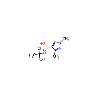 Cc1nn(C)cc1B(O)OC(C)(C)C(C)(C)C